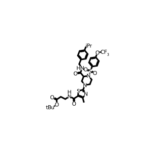 Cc1nc(N2CCN(S(=O)(=O)c3ccc(OC(F)(F)F)cc3)C(C(=O)NCc3ccc(C(C)C)cc3)C2)sc1C(=O)NCCC(=O)OC(C)(C)C